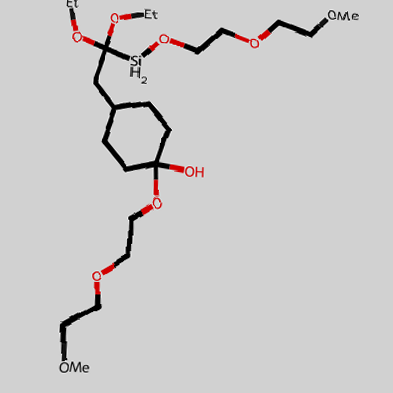 CCOC(CC1CCC(O)(OCCOCCOC)CC1)(OCC)[SiH2]OCCOCCOC